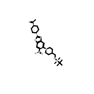 CC(=O)[C@H]1CC[C@H](c2nc3cc(N4CCC(CO[Si](C)(C)C(C)(C)C)CC4)c([N+](=O)[O-])cc3o2)CC1